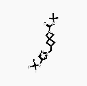 CC(C)(C)OC(=O)N1CC2(CC(Cn3cc(SC(F)(F)F)cn3)C2)C1